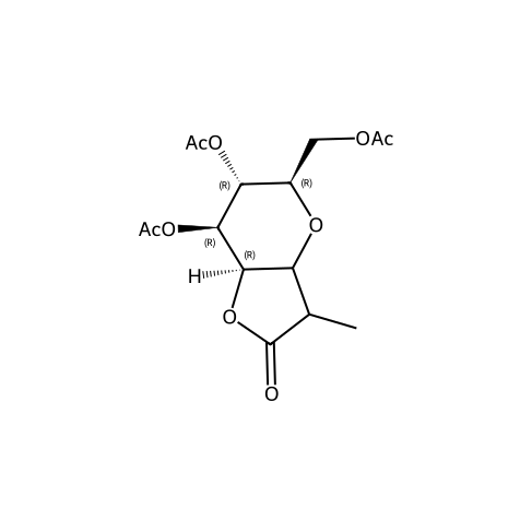 CC(=O)OC[C@H]1OC2C(C)C(=O)O[C@H]2[C@@H](OC(C)=O)[C@@H]1OC(C)=O